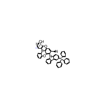 C#C/C=C\C1=C(C)Oc2cc(C#N)c(-n3c4ccccc4c4cc(S(c5ccccc5)(c5ccccc5)c5ccccc5)ccc43)c3c2B1c1ccccc1O3